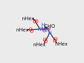 CCCCCC/C=C/COC(=O)CCCCCCCCN(CCCCCCCCC(=O)OC/C=C/CCCCCC)CCCNC(=O)c1cc(C=O)cc(C(=O)NCCCN(CCCCCCCCC(=O)OC/C=C/CCCCCC)CCCCCCCCC(=O)OC/C=C/CCCCCC)c1